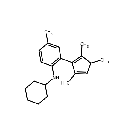 CC1=CC(C)C(C)=C1c1cc(C)ccc1NC1CCCCC1